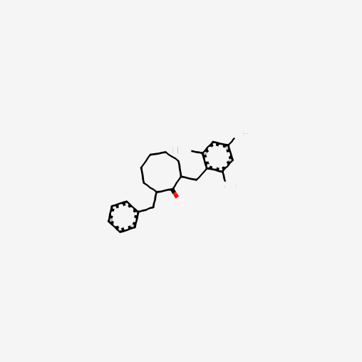 Cc1cc(C)c(CC2CCCCCC(Cc3ccccc3)C2=O)c(C)c1